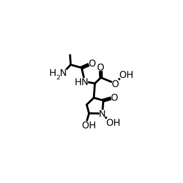 CC(N)C(=O)NC(C(=O)OO)C1CC(O)N(O)C1=O